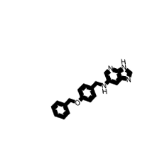 c1ccc(COc2ccc(CNc3cnc4[nH]cnc4c3)cc2)cc1